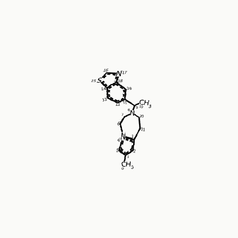 Cc1cc2n(c1)CCN(C(C)c1ccc3scnc3c1)CC2